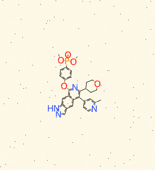 COP(=O)(OC)c1ccc(Oc2nc(C3CCOCC3)c(-c3ccnc(C)c3)c3cc4cn[nH]c4cc23)cc1